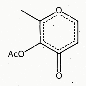 CC(=O)Oc1c(C)occc1=O